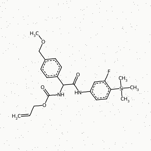 C=CCOC(=O)NC(C(=O)Nc1ccc([Si](C)(C)C)c(F)c1)c1ccc(COC)cc1